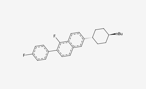 CCCC[C@H]1CC[C@H](c2ccc3c(F)c(-c4ccc(F)cc4)ccc3c2)CC1